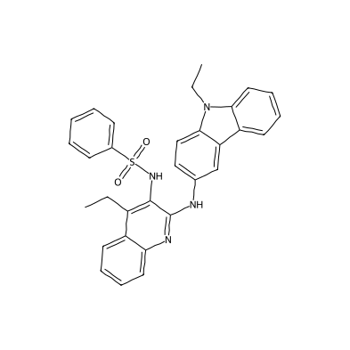 CCc1c(NS(=O)(=O)c2ccccc2)c(Nc2ccc3c(c2)c2ccccc2n3CC)nc2ccccc12